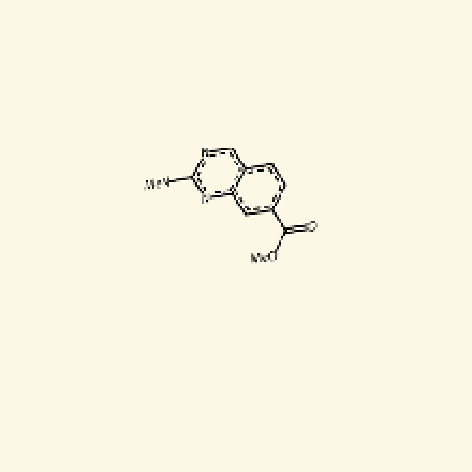 CNc1ncc2ccc(C(=O)OC)cc2n1